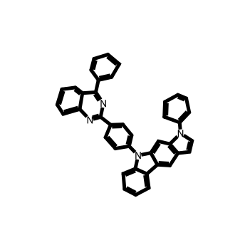 c1ccc(-c2nc(-c3ccc(-n4c5ccccc5c5cc6ccn(-c7ccccc7)c6cc54)cc3)nc3ccccc23)cc1